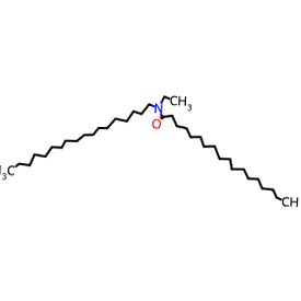 CCCCCCCCCCCCCCCCCCN(CC)C(=O)CCCCCCCCCCCCCCCCC